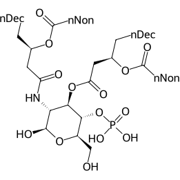 CCCCCCCCCCC[C@H](CC(=O)N[C@@H]1[C@@H](OC(=O)C[C@@H](CCCCCCCCCCC)OC(=O)CCCCCCCCC)[C@H](OP(=O)(O)O)[C@@H](CO)O[C@H]1O)OC(=O)CCCCCCCCC